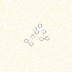 Cc1ccc2c(c1)c1cc(C)ccc1n2-c1ccc2c(c1)C(C)(C)c1cc(N(c3ccccc3)c3cccc(-n4c5ccccc5c5ccccc54)c3)c3ccccc3c1-2